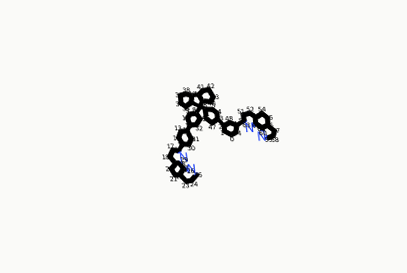 c1cc(-c2ccc(C3(c4ccc(-c5ccc(-c6ccc7ccc8cccnc8c7n6)cc5)cc4)c4ccccc4-c4ccccc43)cc2)cc(-c2ccc3ccc4cccnc4c3n2)c1